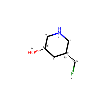 O[C@@H]1CNC[C@H](CF)C1